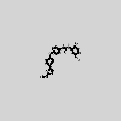 CCNc1ncc(-c2ccc(Oc3ccc(NC(=O)Nc4cc(C(F)(F)F)ccc4F)cn3)cc2)s1